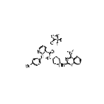 CN(C)c1nc(N[C@H]2CC[C@@H](NC(=O)c3cccnc3Oc3ccc(Br)cc3)CC2)nc2ccccc12.O=C(O)C(F)(F)F